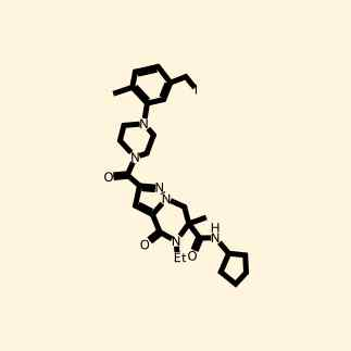 CCN1C(=O)c2cc(C(=O)N3CCN(c4cc(CI)ccc4C)CC3)nn2CC1(C)C(=O)NC1CCCC1